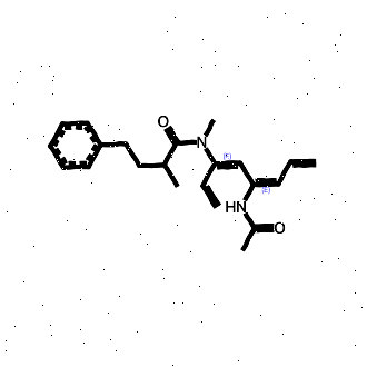 C=C/C=C(\C=C(/C=C)N(C)C(=O)C(C)CCc1ccccc1)NC(C)=O